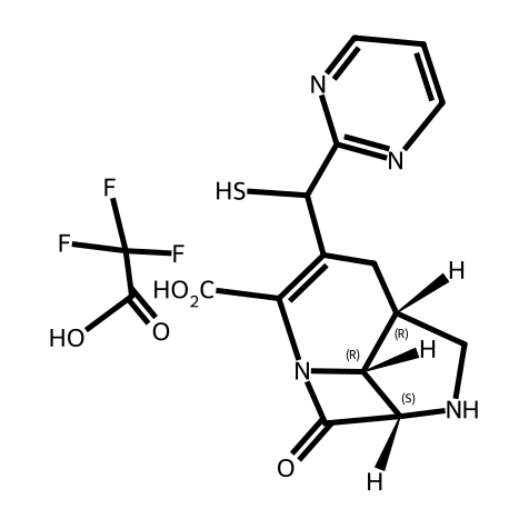 O=C(O)C(F)(F)F.O=C(O)C1=C(C(S)c2ncccn2)C[C@@H]2CN[C@@H]3C(=O)N1[C@H]23